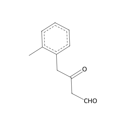 Cc1ccccc1CC(=O)CC=O